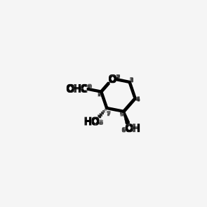 O=CC1OCC[C@@H](O)[C@@H]1O